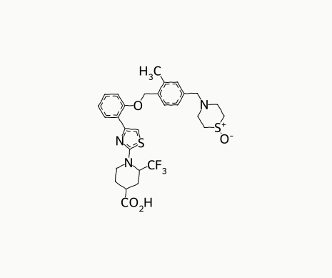 Cc1cc(CN2CC[S+]([O-])CC2)ccc1COc1ccccc1-c1csc(N2CCC(C(=O)O)CC2C(F)(F)F)n1